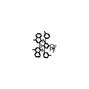 Cc1cccc(N2c3cc(OC(F)(F)F)cc4c3B(c3cc(C)c5ccccc5c32)c2cc(C)c3ccccc3c2N4c2cccc(C)c2)c1